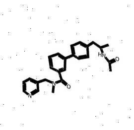 CC(=O)NC(C)Cc1ccc(-c2cccc(C(=O)N(C)Cc3cccnc3)c2)cc1